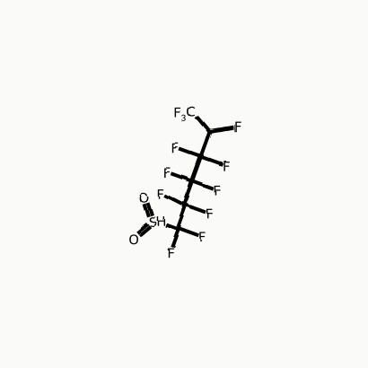 O=[SH](=O)C(F)(F)C(F)(F)C(F)(F)C(F)(F)[C](F)C(F)(F)F